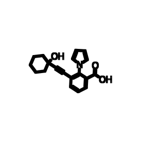 O=C(O)c1cccc(C#CC2(O)CCCCC2)c1-n1cccc1